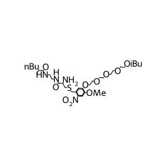 CCCCC(C)C(=O)NCCNC(=O)C(N)CSCc1cc(OCCOCCOCCOCCOCC(C)C)c(OC)cc1[N+](=O)[O-]